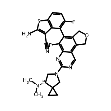 CN(C)[C@@H]1CN(c2ncc3c4c(c(-c5c(F)ccc6sc(N)c(C#N)c56)c(F)c3n2)COC4)CC12CC2